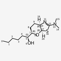 CCCCC[C@H](O)[C@H]1CC[C@H]2N=C(N(C)C)S[C@H]2O1